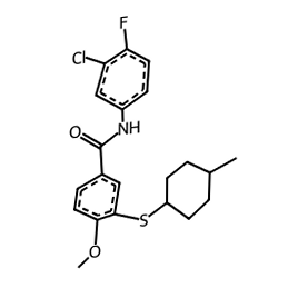 COc1ccc(C(=O)Nc2ccc(F)c(Cl)c2)cc1SC1CCC(C)CC1